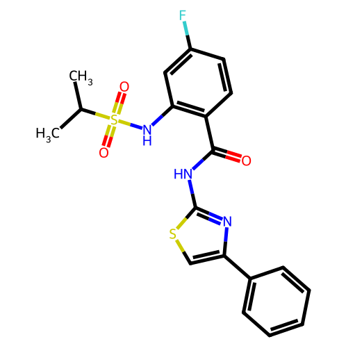 CC(C)S(=O)(=O)Nc1cc(F)ccc1C(=O)Nc1nc(-c2ccccc2)cs1